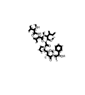 CCC(C)C([C@@H](CC(=O)N1CCC[C@H]1[C@H](OC)[C@@H](C)C(=O)N[C@H](C)[C@@H](O)c1ccccc1)OC)N(C)C(=O)[C@@H](NC(=O)C(NC)C(C)C)C(C)C